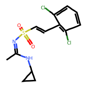 CC(=NS(=O)(=O)C=Cc1c(Cl)cccc1Cl)NC1CC1